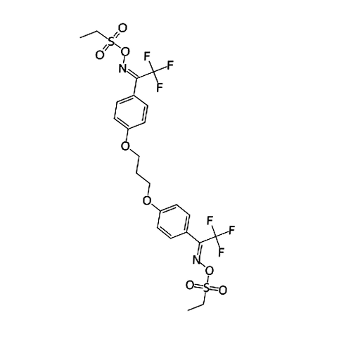 CCS(=O)(=O)O/N=C(/c1ccc(OCCCOc2ccc(/C(=N/OS(=O)(=O)CC)C(F)(F)F)cc2)cc1)C(F)(F)F